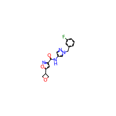 O=C(Nc1cnn(Cc2cccc(F)c2)c1)c1cc(C2COC2)on1